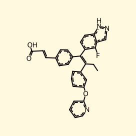 CCC(=C(c1ccc(C=CC(=O)O)cc1)c1ccc2[nH]ncc2c1F)c1cccc(Oc2ccccn2)c1